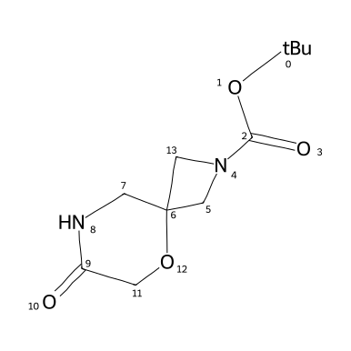 CC(C)(C)OC(=O)N1CC2(CNC(=O)CO2)C1